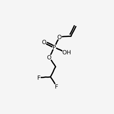 C=COP(=O)(O)OCC(F)F